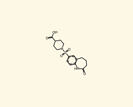 O=C1CCCc2cc(S(=O)(=O)N3CCC(C(=O)O)CC3)ccc2N1